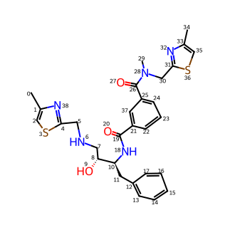 Cc1csc(CNC[C@@H](O)[C@H](Cc2ccccc2)NC(=O)c2cccc(C(=O)N(C)Cc3nc(C)cs3)c2)n1